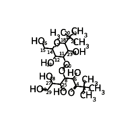 CC(C)(C)C(=O)C(O)C(OOC1C(O)C(CO)OC(C(C)(C)C)C1O)C(O)C(O)CO